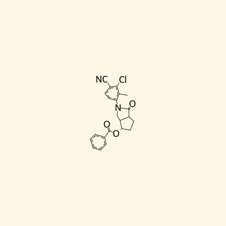 Cc1c(N2CC3C(CC[C@@H]3OC(=O)c3ccccc3)C2=O)ccc(C#N)c1Cl